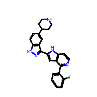 Fc1ccccc1-c1nccc2[nH]c(-c3n[nH]c4ccc(C5CCNCC5)cc34)cc12